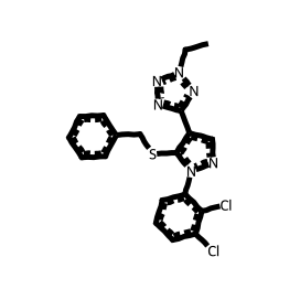 CCn1nnc(-c2cnn(-c3cccc(Cl)c3Cl)c2SCc2ccccc2)n1